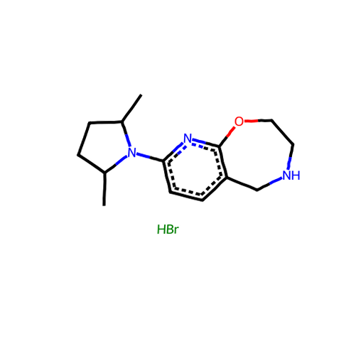 Br.CC1CCC(C)N1c1ccc2c(n1)OCCNC2